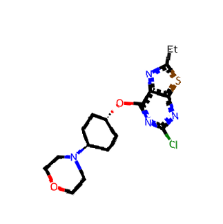 CCc1nc2c(O[C@H]3CC[C@H](N4CCOCC4)CC3)nc(Cl)nc2s1